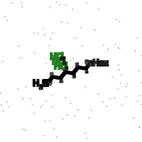 CCCCCCCCCCCC[SiH3].Cl.Cl.Cl